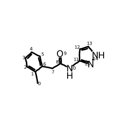 Cc1ccccc1CC(=O)Nc1cc[nH]n1